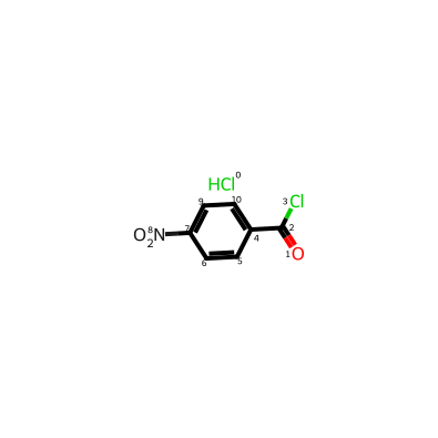 Cl.O=C(Cl)c1ccc([N+](=O)[O-])cc1